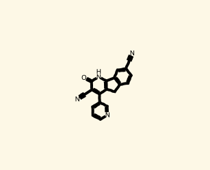 N#Cc1ccc2c(c1)-c1[nH]c(=O)c(C#N)c(-c3cccnc3)c1C2